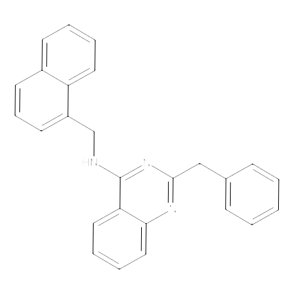 c1ccc(Cc2nc(NCc3cccc4ccccc34)c3ccccc3n2)cc1